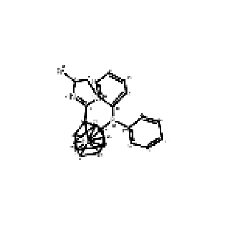 CC(C)C1COC([C]23[CH]4[CH]5[CH]6[C]2(P(c2ccccc2)c2ccccc2)[Fe]54632789[CH]3[CH]2[CH]7[CH]8[CH]39)=N1